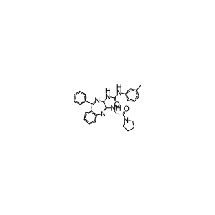 Cc1cccc(NC(=O)NC2N=C(c3ccccc3)c3ccccc3N=C2NCC(=O)N2CCCC2)c1